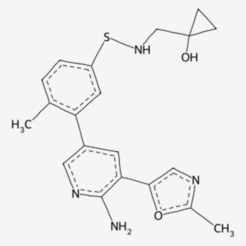 Cc1ncc(-c2cc(-c3cc(SNCC4(O)CC4)ccc3C)cnc2N)o1